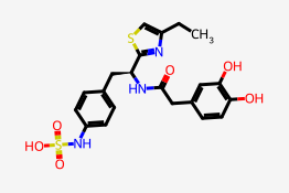 CCc1csc([C@H](Cc2ccc(NS(=O)(=O)O)cc2)NC(=O)Cc2ccc(O)c(O)c2)n1